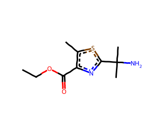 CCOC(=O)c1nc(C(C)(C)N)sc1C